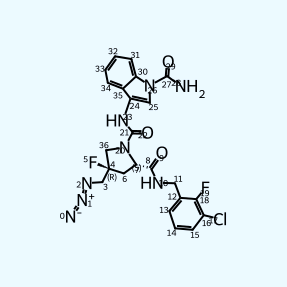 [N-]=[N+]=NC[C@@]1(F)C[C@@H](C(=O)NCc2cccc(Cl)c2F)N(C(=O)Nc2cn(C(N)=O)c3ccccc23)C1